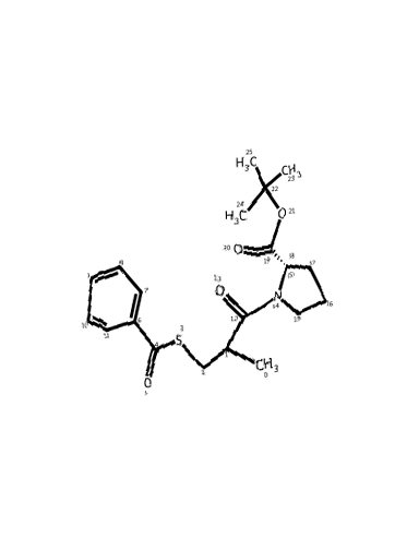 CC(CSC(=O)c1ccccc1)C(=O)N1CCC[C@H]1C(=O)OC(C)(C)C